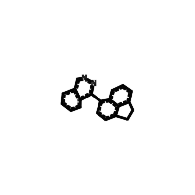 c1ccc2c(-c3ccc4c5c(cccc35)CC4)nncc2c1